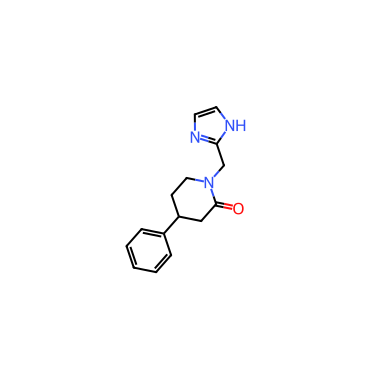 O=C1CC(c2ccccc2)CCN1Cc1ncc[nH]1